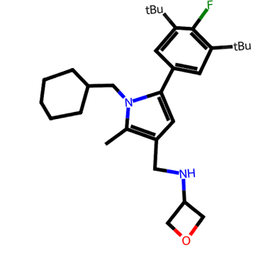 Cc1c(CNC2COC2)cc(-c2cc(C(C)(C)C)c(F)c(C(C)(C)C)c2)n1CC1CCCCC1